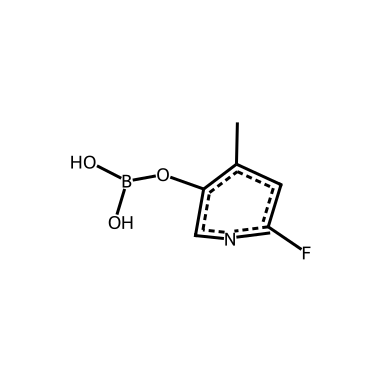 Cc1cc(F)ncc1OB(O)O